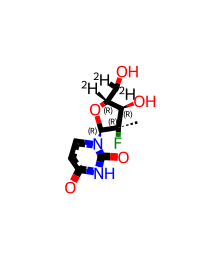 [2H]C([2H])(O)[C@@]1([2H])O[C@@H](n2ccc(=O)[nH]c2=O)[C@](C)(F)[C@@H]1O